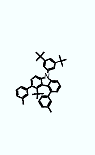 Cc1cccc(-c2ccc3c(c2C(C)(C)C)c2c(-c4cccc(C)c4)cccc2n3-c2cc(C(C)(C)C)cc(C(C)(C)C)c2)c1